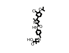 CC(C)Oc1ccc(-c2cc(C(=O)Nc3ccc(CN4CC(C)(C(=O)O)C4)cc3)nn2C)cc1Cl